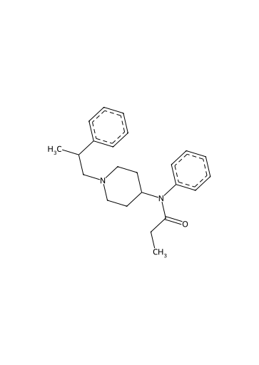 CCC(=O)N(c1ccccc1)C1CCN(CC(C)c2ccccc2)CC1